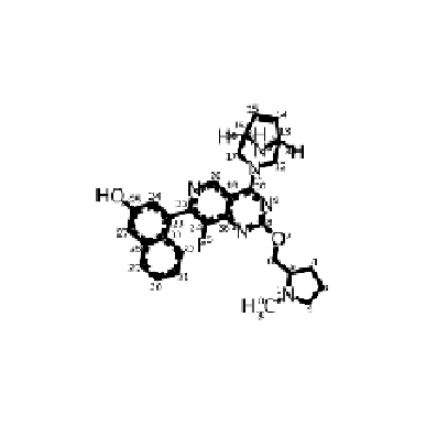 CN1CCCC1COc1nc(N2C[C@H]3C=C[C@@H](C2)N3)c2cnc(-c3cc(O)cc4ccccc34)c(F)c2n1